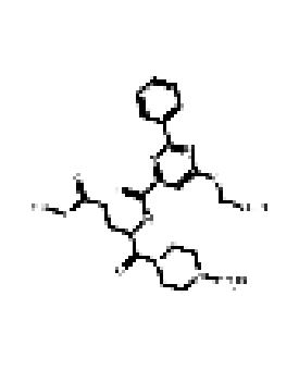 CCOC(=O)N1CCN(C(=O)C(CCC(=O)OC(C)(C)C)NC(=O)c2cc(OCC(=O)O)nc(-c3ccccc3)n2)CC1